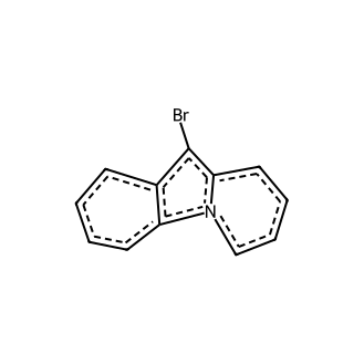 Brc1c2ccccc2n2ccccc12